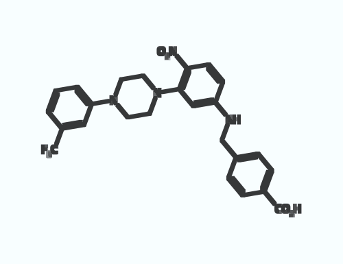 O=C(O)c1ccc(CNc2ccc([N+](=O)[O-])c(N3CCN(c4cccc(C(F)(F)F)c4)CC3)c2)cc1